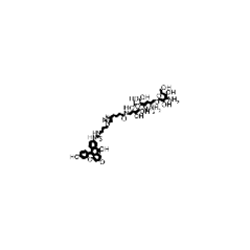 NC1C(O)[C@H](OC[C@H](N)CC(N)[C@H](CO)O[C@H](CO)OC(CNC(=O)CCCc2cn(CCCNC(=S)Nc3ccc(-c4c5ccc(=O)cc-5oc5cc(O)ccc45)c(C(=O)O)c3)nn2)[C@@H](O)CO)OC(CO)[C@@H]1O